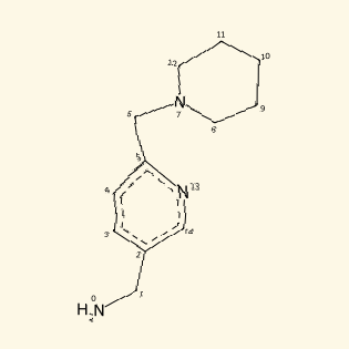 NCc1ccc(CN2CCCCC2)nc1